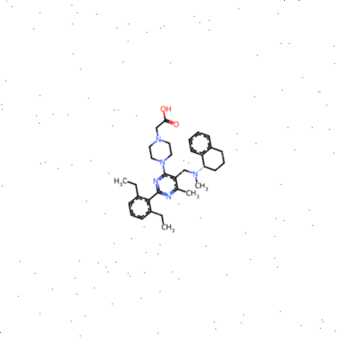 CCc1cccc(CC)c1-c1nc(C)c(CN(C)[C@H]2CCCc3ccccc32)c(N2CCN(CC(=O)O)CC2)n1